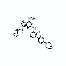 CNc1cc(Nc2cccn(-c3ccc(N4CCOCC4)cn3)c2=O)nc2c(C(=O)NC3CCC3)cnn12